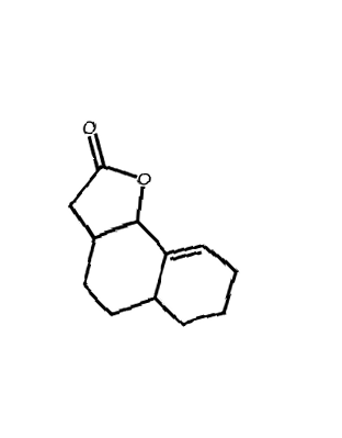 O=C1CC2CCC3CCCC=C3C2O1